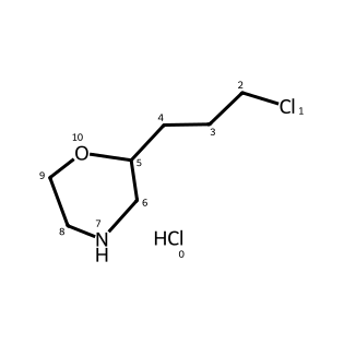 Cl.ClCCCC1CNCCO1